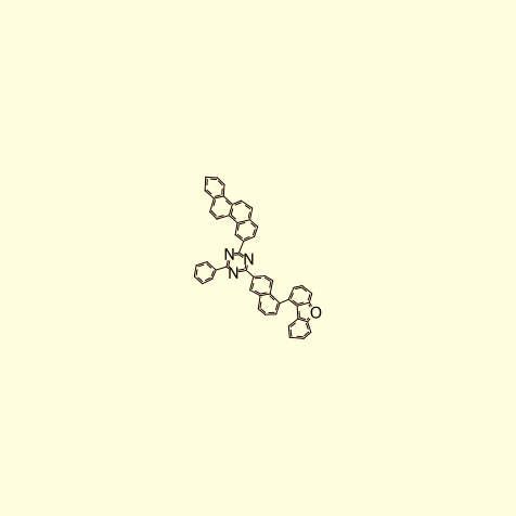 c1ccc(-c2nc(-c3ccc4c(-c5cccc6oc7ccccc7c56)cccc4c3)nc(-c3ccc4ccc5c6ccccc6ccc5c4c3)n2)cc1